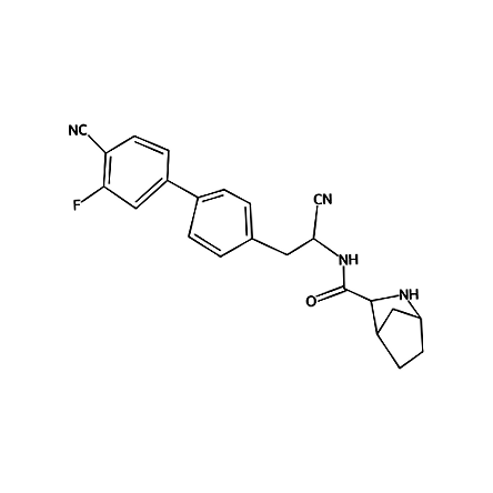 N#Cc1ccc(-c2ccc(CC(C#N)NC(=O)C3NC4CCC3C4)cc2)cc1F